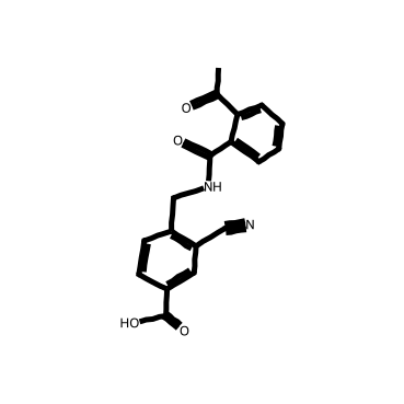 CC(=O)c1ccccc1C(=O)NCc1ccc(C(=O)O)cc1C#N